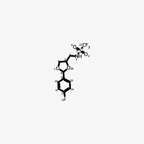 O=S(=O)(NCC1COC(c2ccc(I)cc2)O1)C(F)(F)F